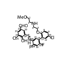 COCCNCCOc1ccc(Cl)cc1-c1cc(NSc2cc(C=O)cc(Cl)c2O)c(F)cc1F